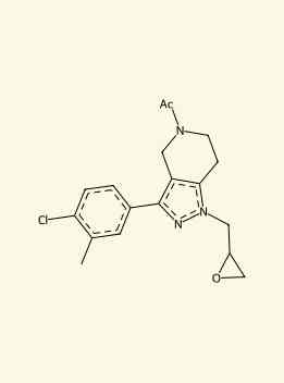 CC(=O)N1CCc2c(c(-c3ccc(Cl)c(C)c3)nn2CC2CO2)C1